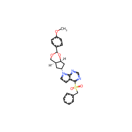 COc1ccc(C2OC[C@@H]3C[C@@H](n4ccc5c(S(=O)(=O)Cc6ccccc6)ncnc54)C[C@@H]3O2)cc1